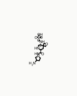 NC1CCN(NC(=O)[C@@H]2CC3(COC3)[C@@H](NOS(=O)(=O)O)CN2)C1